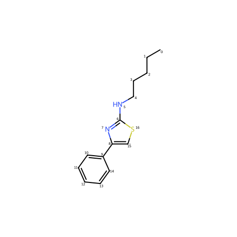 CCCCCNc1nc(-c2ccccc2)[c]s1